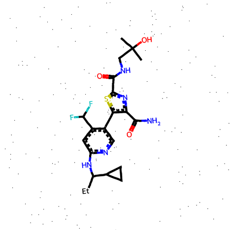 CCC(Nc1cc(C(F)F)c(-c2sc(C(=O)NCC(C)(C)O)nc2C(N)=O)cn1)C1CC1